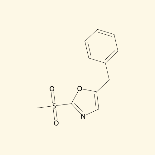 CS(=O)(=O)c1ncc(Cc2ccccc2)o1